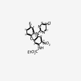 CCOC(=O)Nc1cc(Oc2ccc(F)cc2)c(Nc2ncc(Cl)cn2)cc1[N+](=O)[O-]